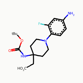 CC(C)(C)OC(=O)NC1(CC(=O)O)CCN(c2ccc(N)cc2F)CC1